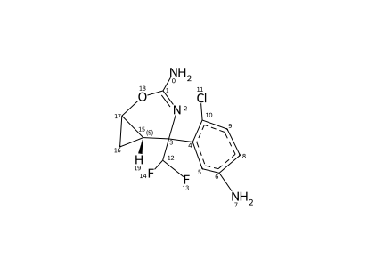 NC1=NC(c2cc(N)ccc2Cl)(C(F)F)[C@@H]2CC2O1